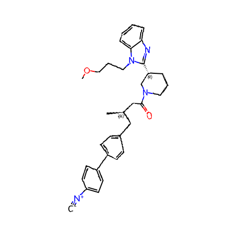 [C-]#[N+]c1ccc(-c2ccc(C[C@@H](C)CC(=O)N3CCC[C@@H](c4nc5ccccc5n4CCCOC)C3)cc2)cc1